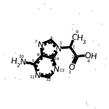 CC(C(=O)O)n1cnc2c(N)ncnc21